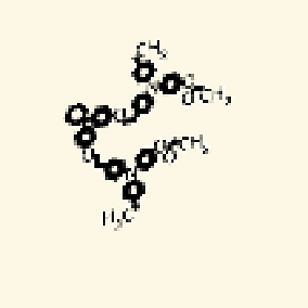 C=CC(=O)Oc1ccc(N(c2ccc(C=C)cc2)c2ccc(CCOc3ccc(C4(c5ccc(OCCc6ccc(N(c7ccc(C=C)cc7)c7ccc(OC(=O)C=C)cc7)cc6)cc5)CCCCC4)cc3)cc2)cc1